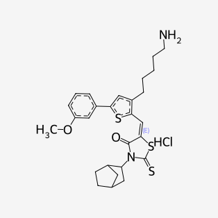 COc1cccc(-c2cc(CCCCCN)c(/C=C3/SC(=S)N(C4CC5CCC4C5)C3=O)s2)c1.Cl